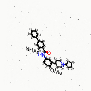 COc1ccc(NC(=O)c2ccc(-c3ccccc3)cc2NC(C)=O)cc1C1CCN(C2CCCC2)CC1